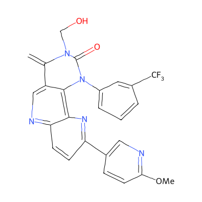 C=C1c2cnc3ccc(-c4ccc(OC)nc4)nc3c2N(c2cccc(C(F)(F)F)c2)C(=O)N1CO